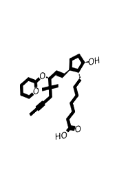 CC#CCC(C)(C)[C@@H](/C=C/[C@H]1CC[C@H](O)[C@@H]1CCCCCCC(=O)O)OC1CCCCO1